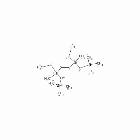 CO[Si](C)(CC[Si](C)(OC)O[Si](C)(C)C)O[Si](C)(C)C